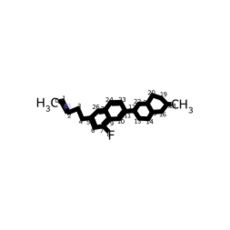 C/C=C/CCc1cc(F)c2cc(C3CCC4CC(C)CCC4C3)ccc2c1